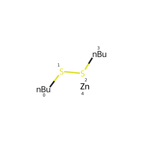 CCCCSSCCCC.[Zn]